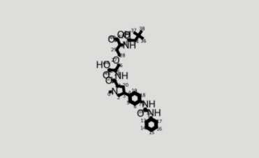 CN1CC(c2ccc(NC(=O)Nc3ccccc3)cc2)CC1C(=O)NC(COCCC(NC(=O)CC(C)(C)C)C(=O)O)C(=O)O